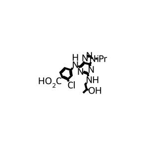 CC(O)CNc1nc(Nc2ccc(C(=O)O)c(Cl)c2)c2nnn(C(C)C)c2n1